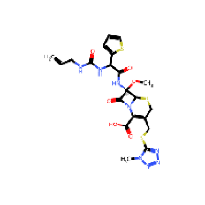 C=CCNC(=O)NC(C(=O)N[C@]1(OC)C(=O)N2C(C(=O)O)=C(CSc3nnnn3C)CSC21)c1cccs1